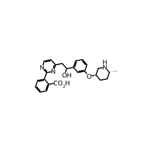 C[C@@H]1CC[C@@H](Oc2cccc(C(O)Cc3ccnc(-c4ccccc4C(=O)O)n3)c2)CN1